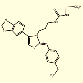 O=C(O)CNC(=O)NCCCn1c(-c2ccc3c(c2)OCO3)cs/c1=N\c1ccc(OC(F)(F)F)cc1